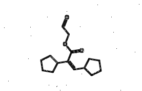 O=CCOC(=O)C(=CC1CCCC1)C1CCCC1